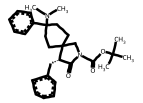 CN(C)C1(c2ccccc2)CCC2(CC1)CN(C(=O)OC(C)(C)C)C(=O)[C@@H]2Cc1ccccc1